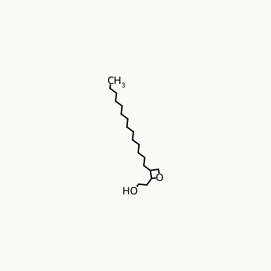 CCCCCCCCCCCCCCC1COC1CCO